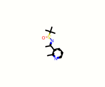 C/C(=N\[S@@+]([O-])C(C)(C)C)c1cccnc1C